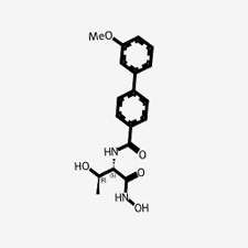 COc1cccc(-c2ccc(C(=O)N[C@H](C(=O)NO)[C@@H](C)O)cc2)c1